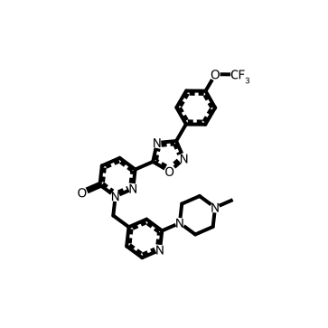 CN1CCN(c2cc(Cn3nc(-c4nc(-c5ccc(OC(F)(F)F)cc5)no4)ccc3=O)ccn2)CC1